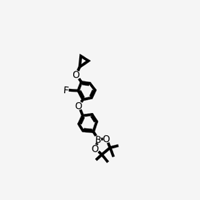 CC1(C)OB(c2ccc(Oc3cccc(OC4CC4)c3F)cc2)OC1(C)C